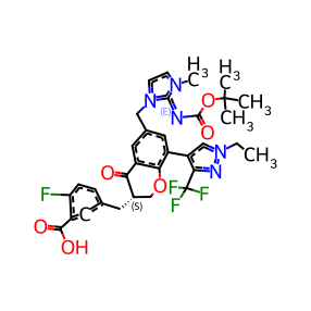 CCn1cc(-c2cc(Cn3ccn(C)/c3=N\C(=O)OC(C)(C)C)cc3c2OC[C@H](Cc2ccc(F)c(C(=O)O)c2)C3=O)c(C(F)(F)F)n1